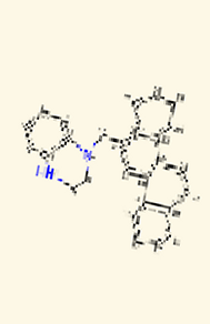 c1ccc2c(c1)NCCN2Cc1cc2c3ccccc3ccc2c2ccccc12